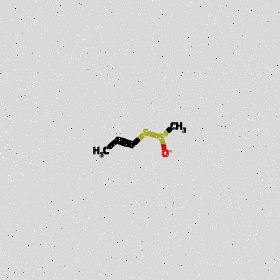 CC=CS[S+](C)[O-]